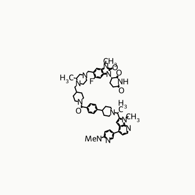 CNc1ccc(-c2ccnc3c2cc([C@H](C)N2CCC(c4ccc(C(=O)N5CCC(CN6CCN(Cc7cc8c(cc7F)n([C@H]7CCC(=O)NC7=O)c(=O)n8C)C[C@@H]6C)CC5)cc4)CC2)n3C)cn1